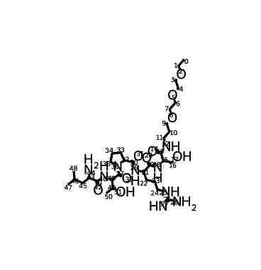 CCOCCOCCOCCCNC(=O)C(CO)NC(=O)C(CCCNC(=N)N)NC(=O)C1CCCN1C(=O)C(NC(=O)C(N)CC(C)C)C(C)O